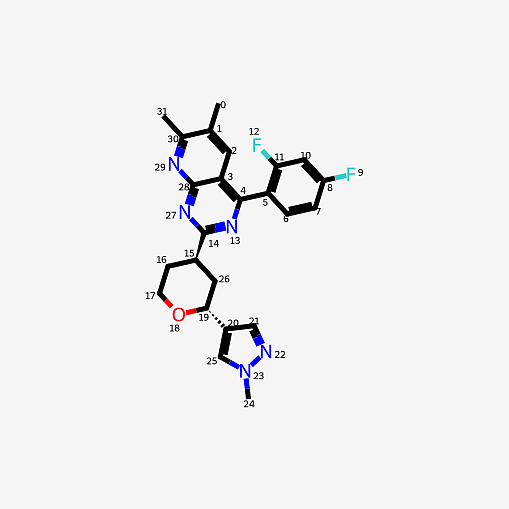 Cc1cc2c(-c3ccc(F)cc3F)nc([C@@H]3CCO[C@@H](c4cnn(C)c4)C3)nc2nc1C